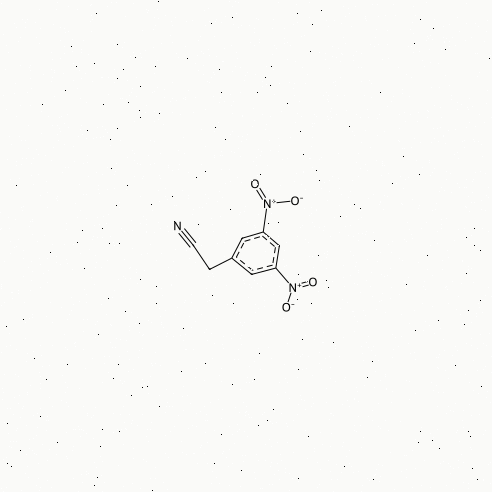 N#CCc1cc([N+](=O)[O-])cc([N+](=O)[O-])c1